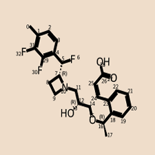 Cc1ccc(C(F)[C@H]2CCN2C[C@@H](O)CO[C@H](C)c2ccccc2C=CC(=O)O)c(F)c1F